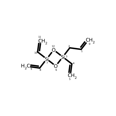 C=CC[Si]1(C=C)O[Si](C=C)(C=C)O1